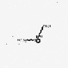 O=C(O)CCCCCC(=O)Nc1ccccc1SCCCCSS(=O)(=O)O